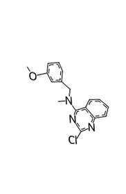 COc1cccc(CN(C)c2nc(Cl)nc3ccccc23)c1